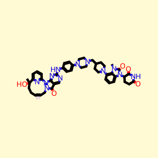 Cn1c(=O)n(C2CCC(=O)NC2=O)c2cccc(N3CCC(CN4CCN(c5ccc(Nc6ncc7c(=O)n8n(c7n6)-c6cccc(n6)C(C)(O)CC/C=C\C8)cc5)CC4)CC3)c21